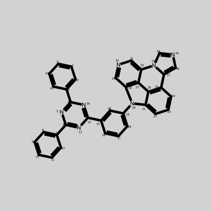 c1ccc(-c2nc(-c3ccccc3)nc(-c3cccc(-n4c5cccc6c5c5c4cncc5n4cncc64)c3)n2)cc1